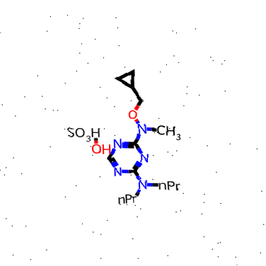 CCCN(CCC)c1ncnc(N(C)OCC2CC2)n1.O=S(=O)(O)O